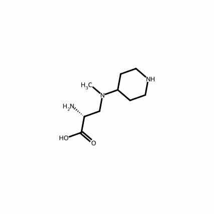 CN(C[C@@H](N)C(=O)O)C1CCNCC1